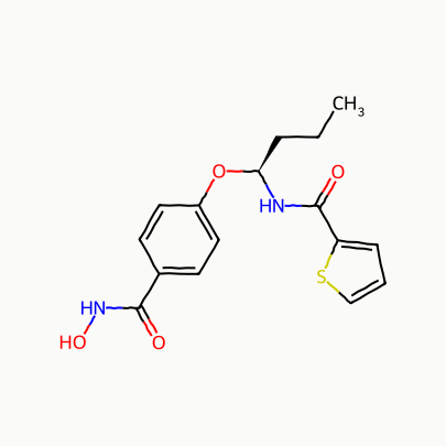 CCC[C@@H](NC(=O)c1cccs1)Oc1ccc(C(=O)NO)cc1